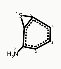 Nc1cccc2c1S2